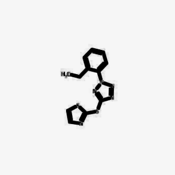 CCc1ccccc1-n1nnc(Sc2nccs2)n1